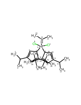 CC(C)C1=C[CH]([Hf]([Cl])([Cl])([CH]2C=C(C(C)C)C=C2C(C)(C)C)[SiH](C)C)C(C(C)(C)C)=C1